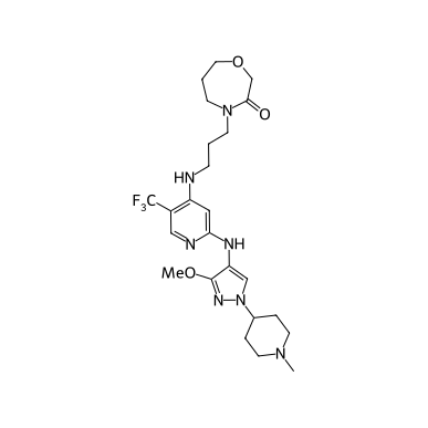 COc1nn(C2CCN(C)CC2)cc1Nc1cc(NCCCN2CCCOCC2=O)c(C(F)(F)F)cn1